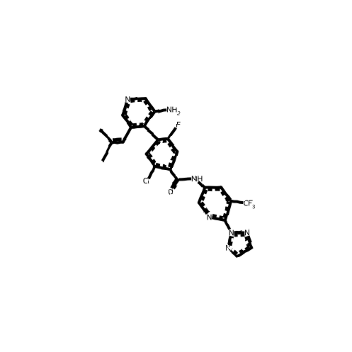 CC(C)=Cc1cncc(N)c1-c1cc(Cl)c(C(=O)Nc2cnc(-n3nccn3)c(C(F)(F)F)c2)cc1F